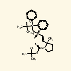 CC(C)(C)OC(=O)N1CCC[C@@]1(C)/C=C/S(=O)(=O)N[Si](c1ccccc1)(c1ccccc1)C(C)(C)C